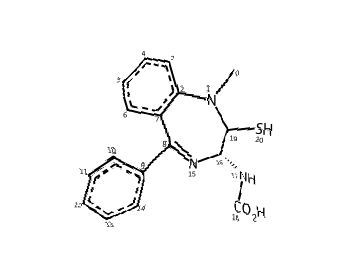 CN1c2ccccc2C(c2ccccc2)=N[C@@H](NC(=O)O)C1S